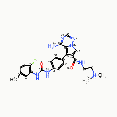 Cc1ccc(F)c(NC(=O)Nc2ccc(-c3c(C(=O)NCCN(C)C)cn4ncnc(N)c34)cc2)c1